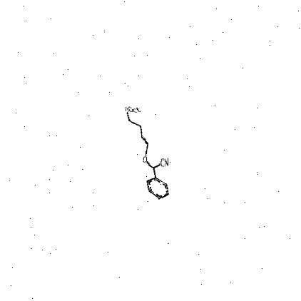 CCCCCCCCCCCCOC(C#N)c1ccccc1